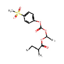 [2H]CC(C)C(=O)OC(C)OC(=O)Oc1ccc(S(C)(=O)=O)cc1